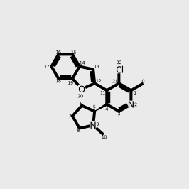 Cc1ncc([C@@H]2CCCN2C)c(-c2cc3ccccc3o2)c1Cl